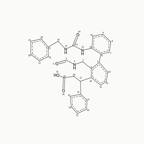 O=CNCc1c(-c2ccccc2NC(=O)NCc2ccccc2)cccc1C(CC(=O)O)c1ccccc1